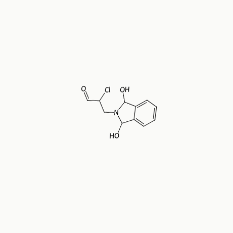 O=CC(Cl)CN1C(O)c2ccccc2C1O